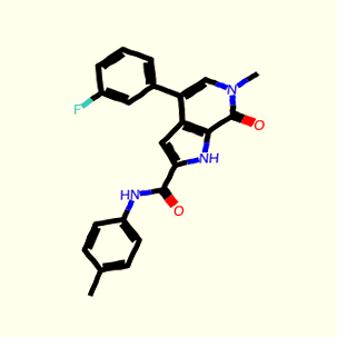 Cc1ccc(NC(=O)c2cc3c(-c4cccc(F)c4)cn(C)c(=O)c3[nH]2)cc1